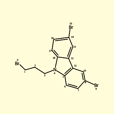 BrCCCn1c2ccc(Br)cc2c2cc(Br)ccc21